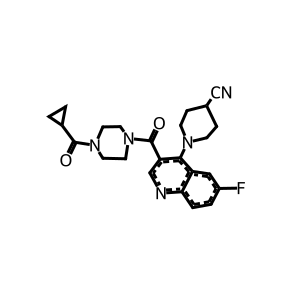 N#CC1CCN(c2c(C(=O)N3CCN(C(=O)C4CC4)CC3)cnc3ccc(F)cc23)CC1